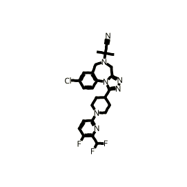 CC(C)(C#N)N1Cc2cc(Cl)ccc2-n2c(nnc2C2CCN(c3ccc(F)c(C(F)F)n3)CC2)C1